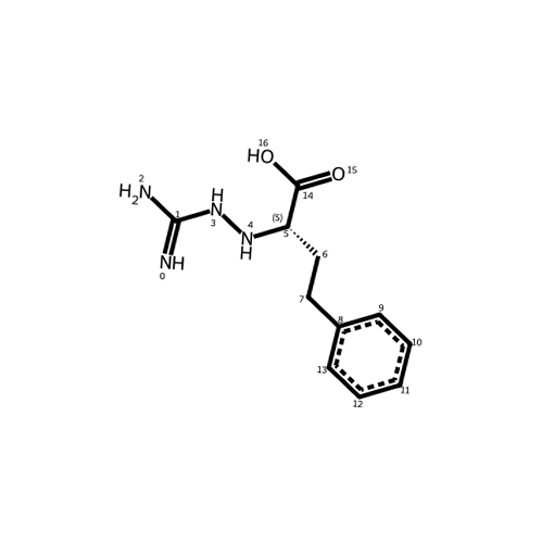 N=C(N)NN[C@@H](CCc1ccccc1)C(=O)O